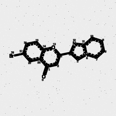 O=c1cc(-c2cn3ccccc3n2)oc2ccc(Br)cc12